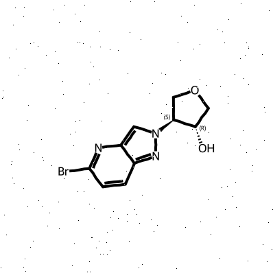 O[C@H]1COC[C@@H]1n1cc2nc(Br)ccc2n1